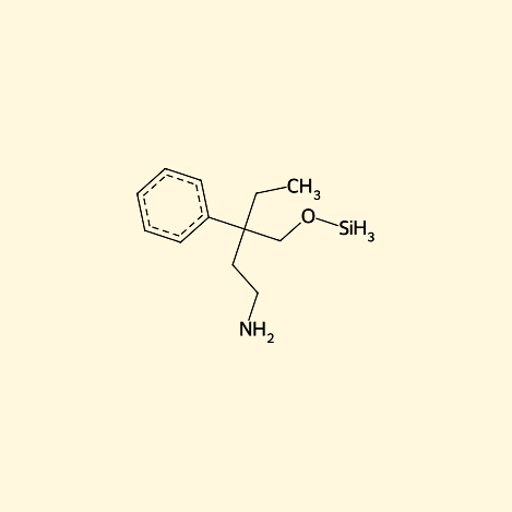 CCC(CCN)(CO[SiH3])c1ccccc1